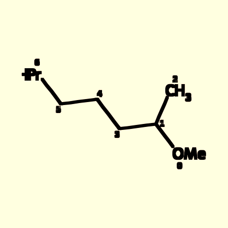 COC(C)CCC[C](C)C